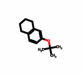 CC(C)(C)Oc1ccc2c(c1)CCCC2